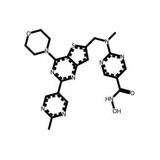 Cc1ncc(-c2nc(N3CCOCC3)c3sc(CN(C)c4ncc(C(=O)NO)cn4)cc3n2)cn1